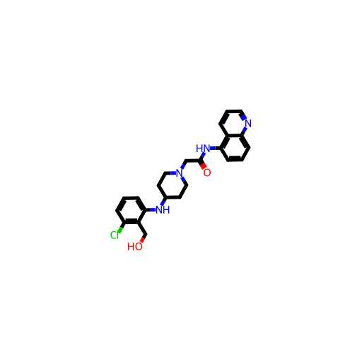 O=C(CN1CCC(Nc2cccc(Cl)c2CO)CC1)Nc1cccc2ncccc12